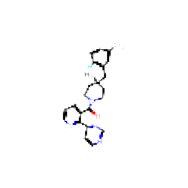 N#CC1(Cc2cc(C(F)(F)F)ccc2F)CCN(C(=O)c2cccnc2-c2ccncn2)CC1